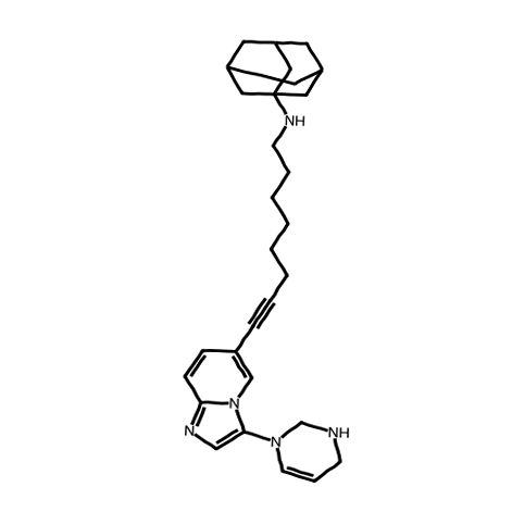 C(#Cc1ccc2ncc(N3C=CCNC3)n2c1)CCCCCCNC12CC3CC(CC(C3)C1)C2